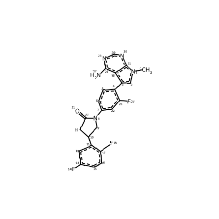 Cn1cc(-c2ccc(N3CC(c4cc(F)ccc4F)CC3=O)cc2F)c2c(N)ncnc21